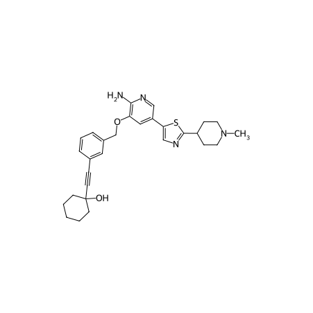 CN1CCC(c2ncc(-c3cnc(N)c(OCc4cccc(C#CC5(O)CCCCC5)c4)c3)s2)CC1